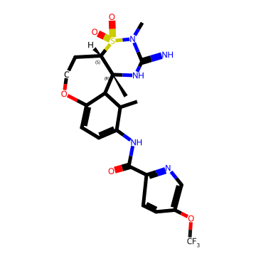 CC1C(NC(=O)c2ccc(OC(F)(F)F)cn2)=CC=C2OCC[C@H]3[C@](C)(NC(=N)N(C)S3(=O)=O)C21